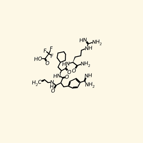 C=CCNC(=O)C(Cc1ccc(C(=N)N)cc1)C(=O)NC(CC1CCCCC1)C(=O)N[C@@H](CCCNC(=N)N)C(N)=O.O=C(O)C(F)(F)F